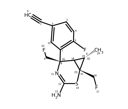 C#Cc1ccc(F)c([C@@]2(CF)N=C(N)S[C@]3(CF)C2[C@@H]3C)c1